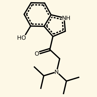 CC(C)N(CC(=O)c1c[nH]c2cccc(O)c12)C(C)C